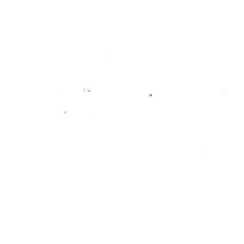 CC(C)(C)OC(=O)NC1(C(=O)N(N)c2ccccc2OCc2ccccc2)CCN(c2ncnc3[nH]ncc23)CC1